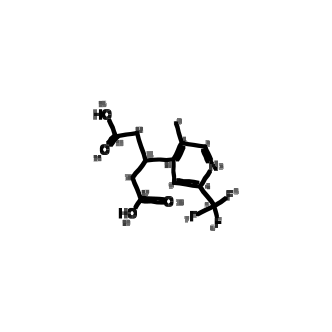 Cc1cnc(C(F)(F)F)cc1C(CC(=O)O)CC(=O)O